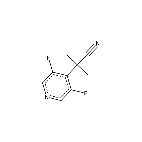 CC(C)(C#N)c1c(F)cncc1F